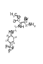 COC(=O)/C(NCCNc1ccc(C(F)(F)F)cc1)=C(\Br)CN